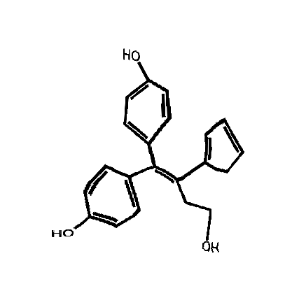 OCCC(C1=CC=CC1)=C(c1ccc(O)cc1)c1ccc(O)cc1